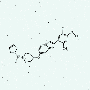 COc1cc(C)c(-c2cn3ccc(OC4CCN([S+]([O-])c5cccs5)CC4)cc3n2)cc1Cl